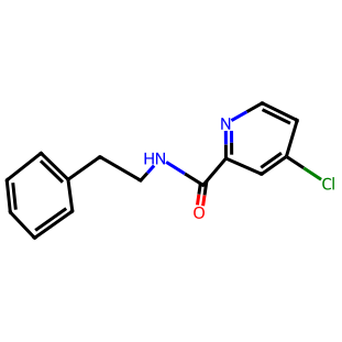 O=C(NCCc1ccccc1)c1cc(Cl)ccn1